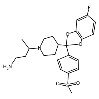 CC(CCN)N1CCC(C2(c3ccc(S(C)(=O)=O)cc3)Oc3ccc(F)cc3O2)CC1